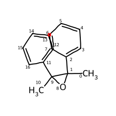 CC1(c2ccccc2)OC1(C)c1ccccc1